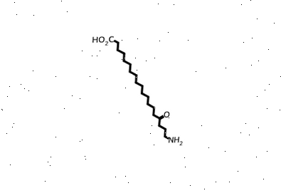 NCCCC(=O)CCCCCCCCCCCCCCC(=O)O